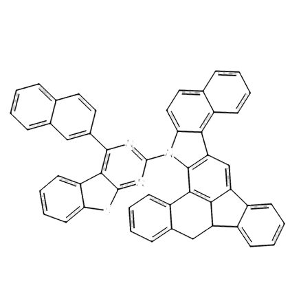 c1ccc2c(c1)CC1c3ccccc3-c3cc4c5c6ccccc6ccc5n(-c5nc(-c6ccc7ccccc7c6)c6c(n5)sc5ccccc56)c4c-2c31